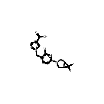 O=C(O)c1cnn(Cc2ccc(N3CC4C(C3)C4(F)F)nc2Br)c1